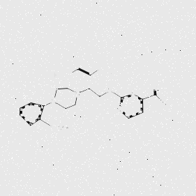 COc1ccccc1N1CCN(CCNc2nccc(C(N)=O)n2)CC1.O=C(O)C=CC(=O)O